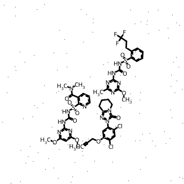 C#CCOc1cc(-n2nc3n(c2=O)CCCC3)c(Cl)cc1Cl.COc1cc(OC)nc(NC(=O)NS(=O)(=O)c2ncccc2C(=O)N(C)C)n1.COc1nc(C)nc(NC(=O)NS(=O)(=O)c2ccccc2CCC(F)(F)F)n1